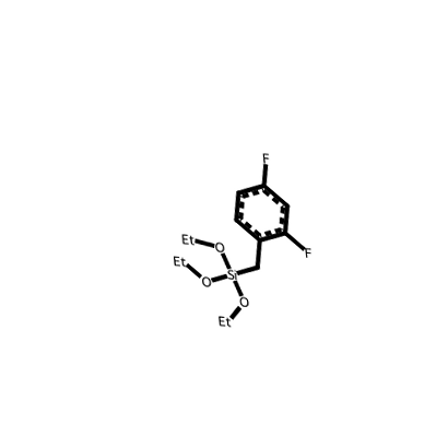 CCO[Si](Cc1ccc(F)cc1F)(OCC)OCC